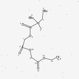 CC(C)(C)CC(C)(C(=O)OCC(=O)OCC(=O)OCC(F)(F)F)C(C)(C)C